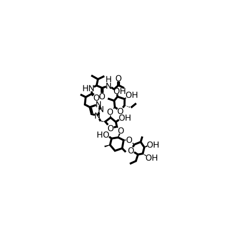 CCC1O[C@H](O[C@@H]2C(C)C[C@@H](C)C(O)[C@H]2O[C@@H]2O[C@H](Cn3cc(CC(C)C(=O)NC(C(=O)NCC(C)=O)C(C)C)nn3)[C@H](O[C@H]3O[C@@H](CC)[C@@H](O)C(O)C3C)C2O)C(C)[C@@H](O)[C@@H]1O